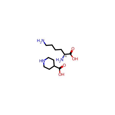 NCCCC[C@H](N)C(=O)O.O=C(O)C1CCNCC1